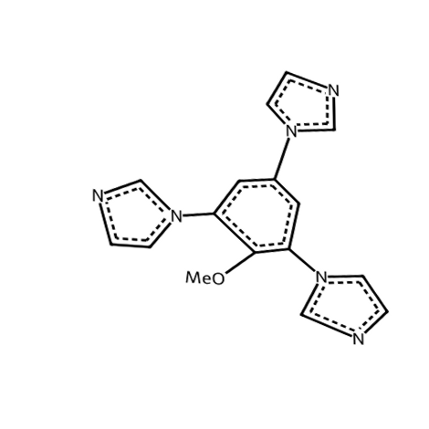 COc1c(-n2ccnc2)cc(-n2ccnc2)cc1-n1ccnc1